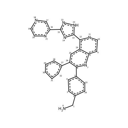 NCc1ccc(-c2nc3ccnc(-c4nc(-c5cnccn5)n[nH]4)c3cc2-c2ccccc2)cc1